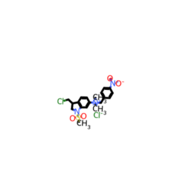 C[N+](C)(Cc1ccc([N+](=O)[O-])cc1)c1ccc2c(c1)N(S(C)(=O)=O)CC2CCl.[Cl-]